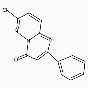 O=c1cc(-c2ccccc2)nc2ccc(Cl)nn12